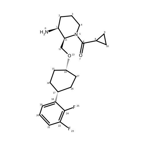 N[C@H]1CCCN(C(=O)C2CC2)[C@H]1CO[C@H]1CC[C@@H](c2cccc(F)c2F)CC1